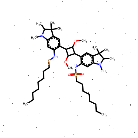 CCCCCCCCSNc1cc2c(cc1C1C(OC)C(c3cc4c(cc3NS(=O)(=O)CCCCCCCC)N(C)C(C)C4(C)C)C1OC)C(C)(C)C(C)N2C